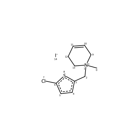 C[N+]1(Cc2ccc(Cl)s2)CC=CCC1.[I-]